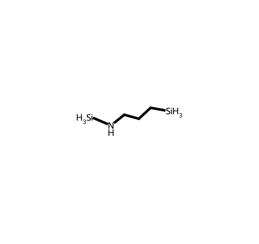 [SiH3]CCCN[SiH3]